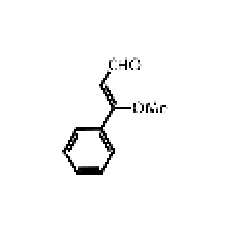 CO/C(=C\C=O)c1ccccc1